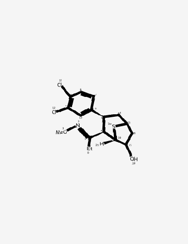 CCC(=NOC)[C@H]1[C@@H](c2ccc(Cl)c(Cl)c2)CC2CC(O)[C@H]1S2